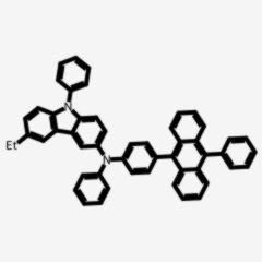 CCc1ccc2c(c1)c1cc(N(c3ccccc3)c3ccc(-c4c5ccccc5c(-c5ccccc5)c5ccccc45)cc3)ccc1n2-c1ccccc1